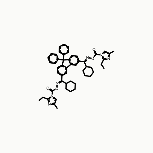 CCc1nc(C)cn1C(=O)O/N=C(/c1ccc2c(c1)-c1cc(/C(=N/OC(=O)n3cc(C)nc3CC)C3CCCCC3)ccc1C2(c1ccccc1)c1ccccc1)C1CCCCC1